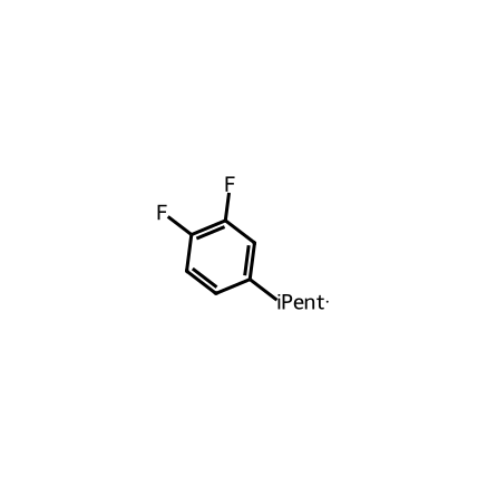 CCC[C](C)c1ccc(F)c(F)c1